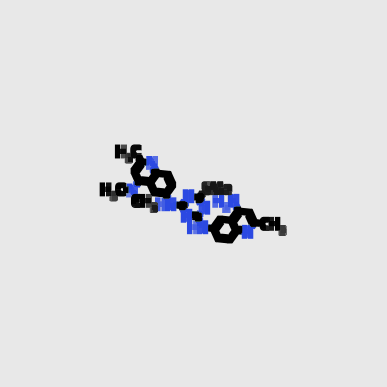 CSc1nc(Nc2ccc3nc(C)cc(N)c3c2)nc(Nc2ccc3nc(C)cc(N(C)C)c3c2)n1